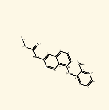 CCNC(=O)Nc1cc2cccc(Nc3cccnc3OC)c2cn1